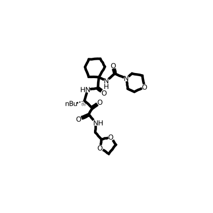 CCCC[C@H](NC(=O)C1(NC(=O)N2CCOCC2)CCCCC1)C(=O)C(=O)NCC1OCCO1